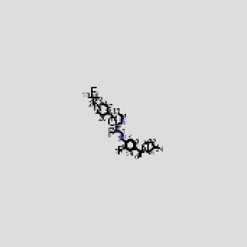 C=C(c1ccc(/C=C/C(F)=C(\C=C/C)OCC2CCN(CC(C)(C)F)CC2)c(F)c1)N1CCC(C)C1